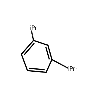 C[C](C)c1cccc(C(C)C)c1